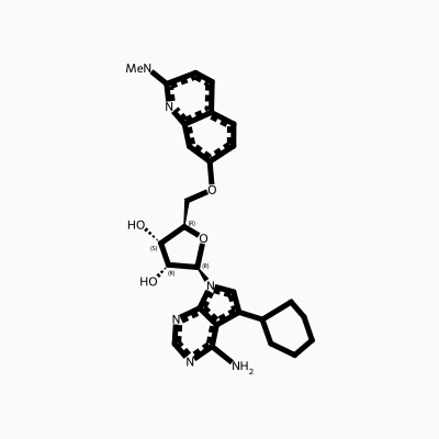 CNc1ccc2ccc(OC[C@H]3O[C@@H](n4cc(C5CCCCC5)c5c(N)ncnc54)[C@H](O)[C@@H]3O)cc2n1